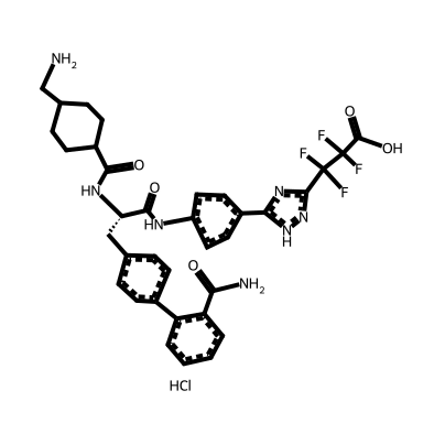 Cl.NCC1CCC(C(=O)N[C@@H](Cc2ccc(-c3ccccc3C(N)=O)cc2)C(=O)Nc2ccc(-c3nc(C(F)(F)C(F)(F)C(=O)O)n[nH]3)cc2)CC1